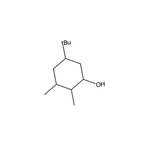 CC1CC(C(C)(C)C)CC(O)C1C